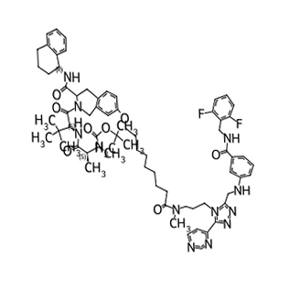 C[C@@H](C(=O)N[C@H](C(=O)N1Cc2cc(OCCCCCCCCC(=O)N(C)CCCn3c(CNc4cccc(C(=O)NCc5c(F)cccc5F)c4)nnc3-c3ccncn3)ccc2CC1C(=O)N[C@@H]1CCCc2ccccc21)C(C)(C)C)N(C)C(=O)OC(C)(C)C